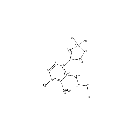 CSc1c(Cl)ccc(C2=NC(C)(C)CO2)c1OCCF